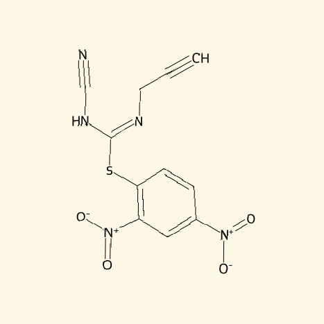 C#CCN=C(NC#N)Sc1ccc([N+](=O)[O-])cc1[N+](=O)[O-]